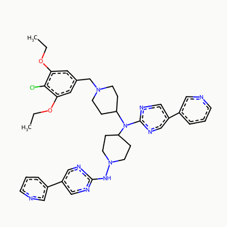 CCOc1cc(CN2CCC(N(c3ncc(-c4cccnc4)cn3)C3CCN(Nc4ncc(-c5cccnc5)cn4)CC3)CC2)cc(OCC)c1Cl